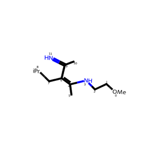 COCCN/C(C)=C(/CC(C)C)C(C)=N